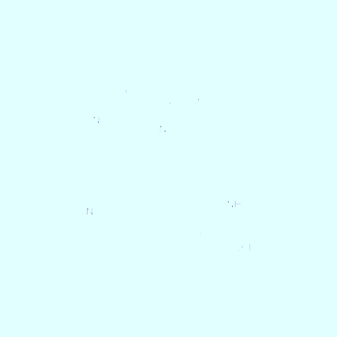 N#Cc1cnc2c(c1)N(C1CCC(NC(=O)O)CC1)C(=O)CO2